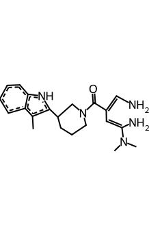 Cc1c(C2CCCN(C(=O)C(=C/N)/C=C(\N)N(C)C)C2)[nH]c2ccccc12